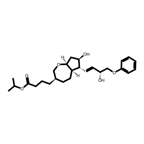 CC(C)OC(=O)CCC[C@@H]1CC[C@@H]2[C@@H](C=C[C@@H](O)COc3ccccc3)[C@H](O)C[C@@H]2OC1